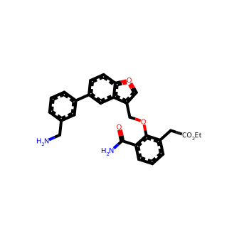 CCOC(=O)Cc1cccc(C(N)=O)c1OCc1coc2ccc(-c3cccc(CN)c3)cc12